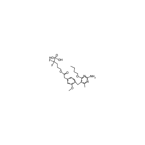 CCCCOc1nc(N)nc(C)c1Cc1ccc(CC(=O)OCCCC(F)(F)P(=O)(O)O)cc1OC